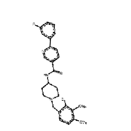 COc1ccc(CN2CCC(NC(=O)c3ccc(-c4cccc(F)c4)nc3)CC2)c(Cl)c1OC